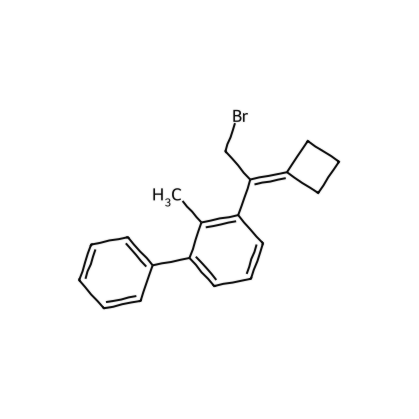 Cc1c(C(CBr)=C2CCC2)cccc1-c1ccccc1